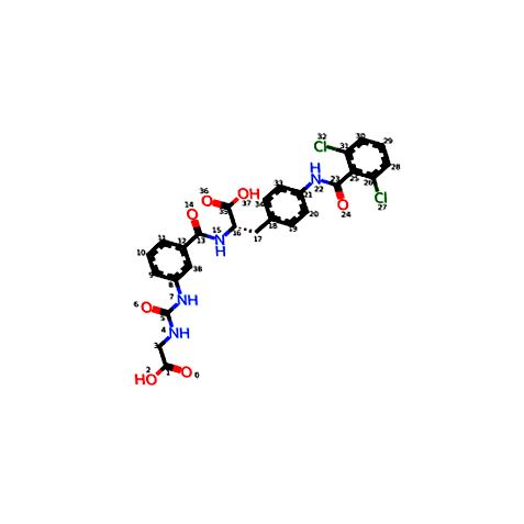 O=C(O)CNC(=O)Nc1cccc(C(=O)N[C@@H](Cc2ccc(NC(=O)c3c(Cl)cccc3Cl)cc2)C(=O)O)c1